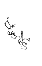 O=C(C[C@@H]1CCC(=O)N1Cc1cccc(F)c1F)N[C@@H](CC1CC1)C(=O)OC1CCCCC1